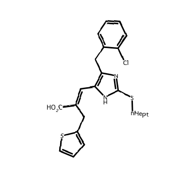 CCCCCCCSc1nc(Cc2ccccc2Cl)c(/C=C(\Cc2cccs2)C(=O)O)[nH]1